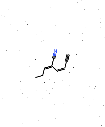 C#C/C=C\C(C#N)=C/CC